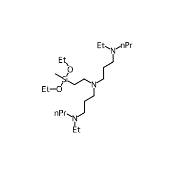 CCCN(CC)CCCN(CCCN(CC)CCC)CC[Si](C)(OCC)OCC